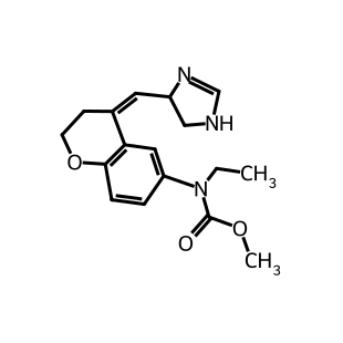 CCN(C(=O)OC)c1ccc2c(c1)/C(=C\C1CNC=N1)CCO2